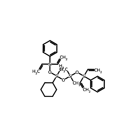 C=C[Si](C=C)(O[Si](C)(C)O[Si](C)(O[Si](C=C)(C=C)c1ccccc1)C1CCCCC1)c1ccccc1